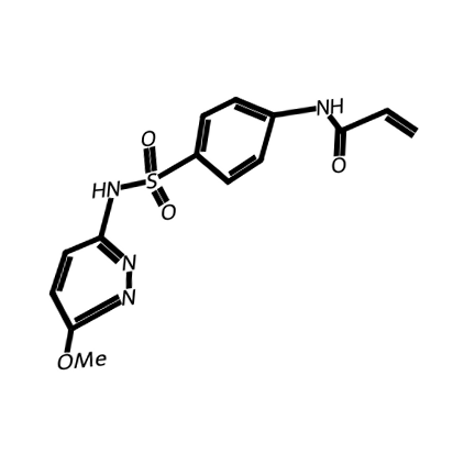 C=CC(=O)Nc1ccc(S(=O)(=O)Nc2ccc(OC)nn2)cc1